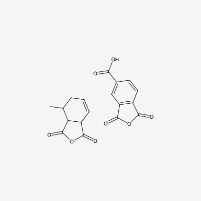 CC1CC=CC2C(=O)OC(=O)C12.O=C(O)c1ccc2c(c1)C(=O)OC2=O